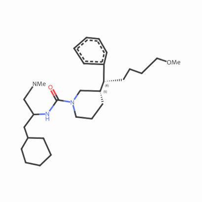 CNCC(CC1CCCCC1)NC(=O)N1CCC[C@@H]([C@@H](CCCCOC)c2ccccc2)C1